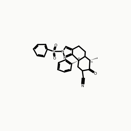 C[C@@H]1C(=O)C(C#N)C[C@@]2(c3ccccc3)c3nn(S(=O)(=O)c4ccccc4)cc3CCC12